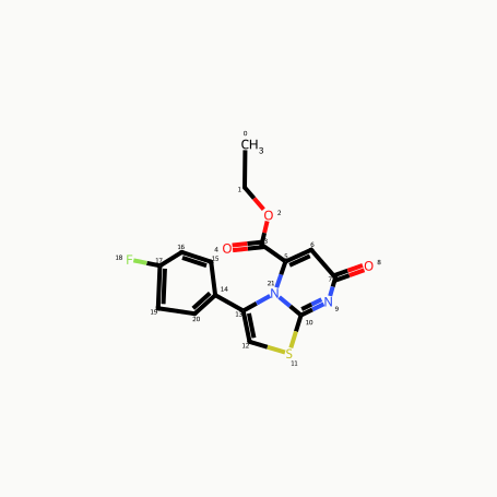 CCOC(=O)c1cc(=O)nc2scc(-c3ccc(F)cc3)n12